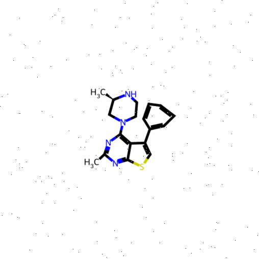 Cc1nc(N2CCN[C@H](C)C2)c2c(-c3ccccc3)csc2n1